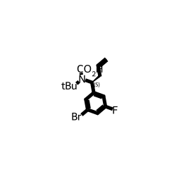 C=CC[C@@H](c1cc(F)cc(Br)c1)N(C(=O)O)C(C)(C)C